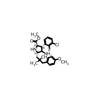 COC(=O)[C@@H]1N[C@@H](CC(C)(C)Cc2ccc(OC)cc2)C(N)[C@H]1c1cccc(Cl)c1F